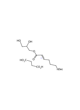 CCCCCCCCCCCCC/C=C/C(=O)OCC(O)CO.O=C(O)CCC(=O)O